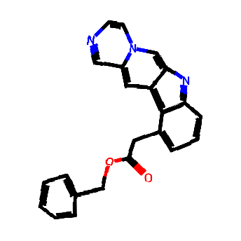 O=C(Cc1cccc2nc3cn4ccncc4cc-3c12)OCc1ccccc1